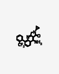 Nc1c2c(nc3c(-c4ccccc4C(F)(F)F)cccc13)CN(C1CC1)C2=O